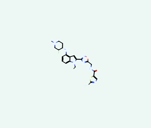 CC(C)c1ncc(C(=O)NCc2nc(-c3cc4c(N[C@@H]5CCN(C)C[C@@H]5F)cccc4n3CC(F)(F)F)no2)s1